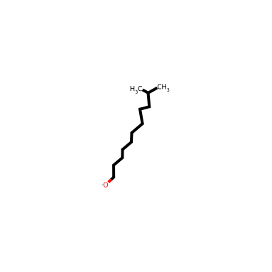 CC(C)CCCCCCCCC[O]